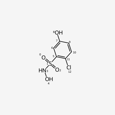 O=S(=O)(NO)c1cc(O)ccc1Cl